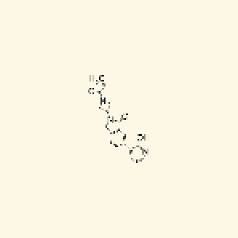 C=CC(=O)N1CC(N2Cc3ccc(-c4cccnc4O)cc3C2=O)C1